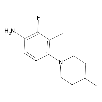 Cc1c(N2CCC(C)CC2)ccc(N)c1F